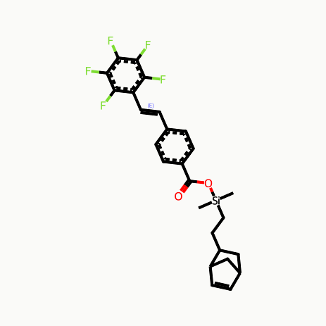 C[Si](C)(CCC1CC2C=CC1C2)OC(=O)c1ccc(/C=C/c2c(F)c(F)c(F)c(F)c2F)cc1